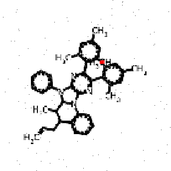 C=CCC1c2ccccc2N2c3nc(-c4c(C)cc(C)cc4C)c(-c4c(C)cc(C)cc4C)nc3N(c3ccccc3)C2C1C